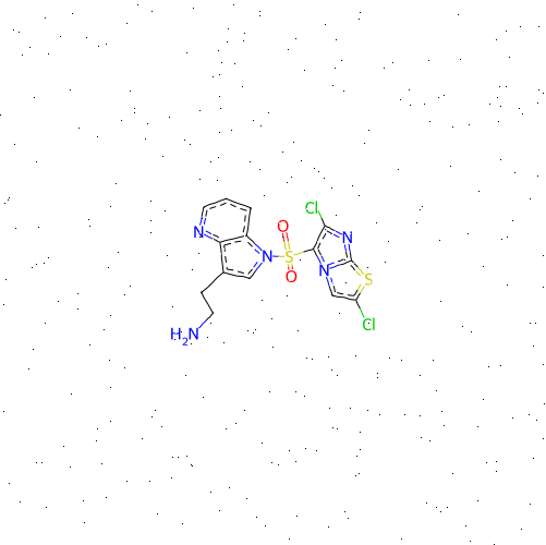 NCCc1cn(S(=O)(=O)c2c(Cl)nc3sc(Cl)cn23)c2cccnc12